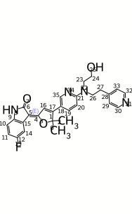 CC1(C)O/C(=C2/C(=O)Nc3ccc(F)cc32)C=C1c1ccc(N(CCO)CCc2ccncc2)nc1